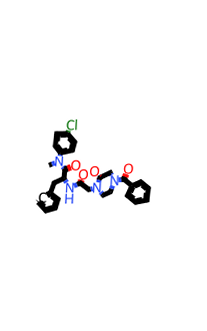 CN(C(=O)C(Cc1ccccc1)NC(=O)CN1CCN(C(=O)c2ccccc2)CC1=O)c1ccc(Cl)cc1